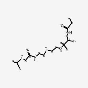 CCC(=O)NCC(F)C(C)(C)OCCOCCNC(=O)COC(C)C